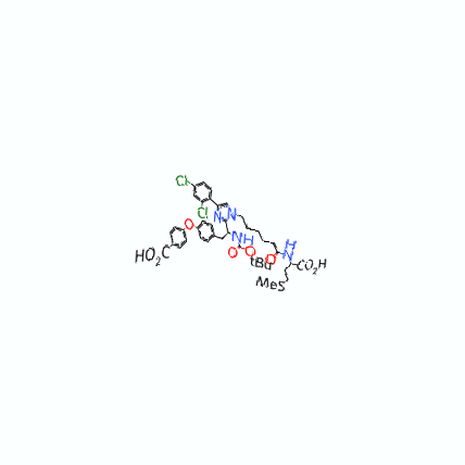 CSCCC(NC(=O)CCCCCn1cc(-c2ccc(Cl)cc2Cl)nc1[C@H](Cc1ccc(Oc2ccc(C(=O)O)cc2)cc1)NC(=O)OC(C)(C)C)C(=O)O